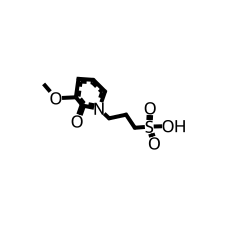 COc1cccn(CCCS(=O)(=O)O)c1=O